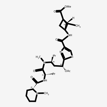 COC(=O)C12CC(NC(=O)c3csc([C@@H](C[C@H](C(C)C)N(C)C(=O)[C@@H](NC(=O)[C@H]4CCCCN4C)C(C)C)OC(C)=O)n3)(C1)[C@H]2C